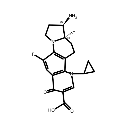 N[C@@H]1CCN2c3c(F)cc4c(=O)c(C(=O)O)cn(C5CC5)c4c3CC[C@H]12